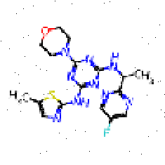 Cc1cnc(Nc2nc(N[C@@H](C)c3ncc(F)cn3)nc(N3CCOCC3)n2)s1